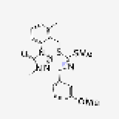 COc1cccc(C/N=C(/SC)SCc2c(C)cccc2-n2nnn(C)c2=O)c1